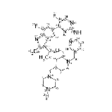 [2H]N1CCN(CC2CCN(Cc3ccc(Nc4ncc(F)c(-c5cc(F)c6nc(C)n(C(C)C)c6c5)n4)nc3)CC2)CC1